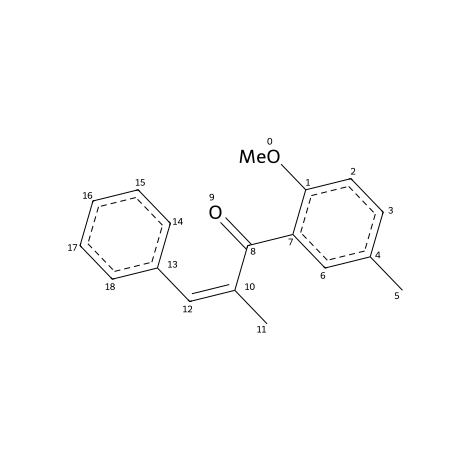 COc1ccc(C)cc1C(=O)/C(C)=C\c1ccccc1